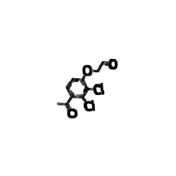 CC(=O)c1ccc(OCC=O)c(Cl)c1Cl